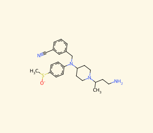 CC(CCN)N1CCC(N(Cc2cccc(C#N)c2)c2ccc([S+](C)[O-])cc2)CC1